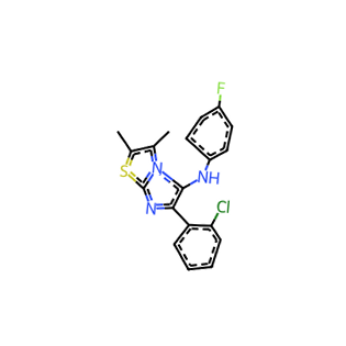 Cc1sc2nc(-c3ccccc3Cl)c(Nc3ccc(F)cc3)n2c1C